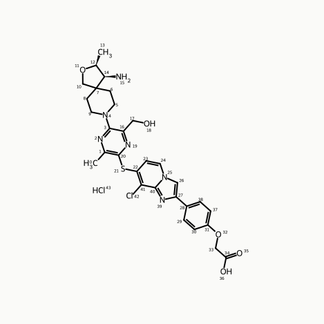 Cc1nc(N2CCC3(CC2)CO[C@@H](C)[C@H]3N)c(CO)nc1Sc1ccn2cc(-c3ccc(OCC(=O)O)cc3)nc2c1Cl.Cl